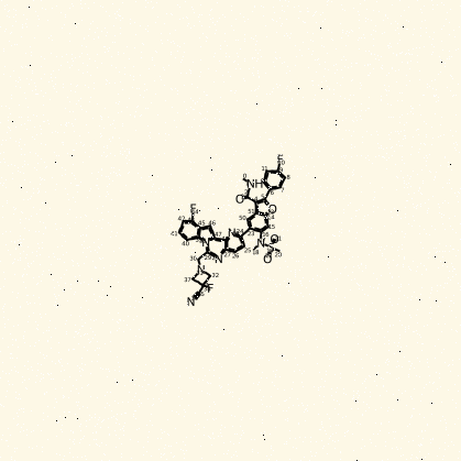 CNC(=O)c1c(-c2ccc(F)cc2)oc2cc(N(C)S(C)(=O)=O)c(-c3ccc4nc(CN5CC(F)(C#N)C5)n5c6cccc(F)c6cc5c4n3)cc12